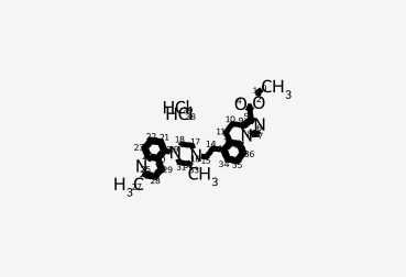 CCOC(=O)c1ncn2c1CCc1c(CCN3CCN(c4cccc5nc(C)ccc45)C[C@H]3C)cccc1-2.Cl.Cl